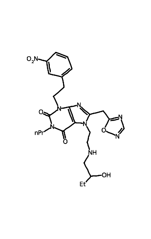 CCCn1c(=O)c2c(nc(Cc3ncno3)n2CCNCC(O)CC)n(CCc2cccc([N+](=O)[O-])c2)c1=O